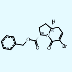 O=C(OCc1ccccc1)[C@@H]1CC[C@H]2CC=C(Br)C(=O)N21